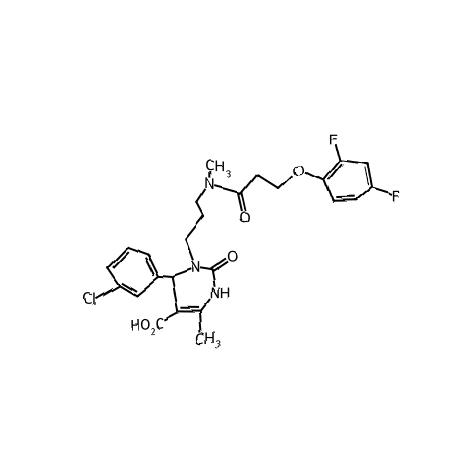 CC1=C(C(=O)O)C(c2cccc(Cl)c2)N(CCCN(C)C(=O)CCOc2ccc(F)cc2F)C(=O)N1